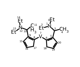 CCN(CC)C(C)C1=[C]([V][C]2=C(C(C)N(CC)CC)C=CC2)CC=C1